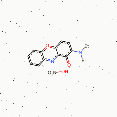 CCN(CC)c1ccc2oc3ccccc3nc-2c1=O.O=[N+]([O-])O